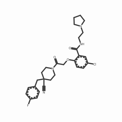 N#CC1(Cc2ccc(F)cc2)CCN(C(=O)COc2ccc(Cl)cc2C(=O)NCCN2CCCC2)CC1